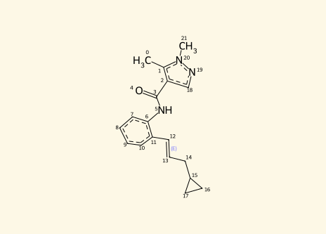 Cc1c(C(=O)Nc2ccccc2/C=C/CC2CC2)cnn1C